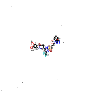 COc1ccc(CN2CC(c3cc(C(F)(F)F)nc(S(=O)(=O)CCCC(=O)NC45CC6CC(CC(C6)C4)C5)n3)C=CC2=O)cc1OC